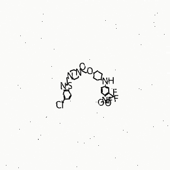 O=C(CO[C@H]1CC[C@H](Nc2ccc([N+](=O)[O-])c(C(F)(F)F)c2)CC1)N1CCN(Cc2nc3cc(Cl)ccc3s2)CC1